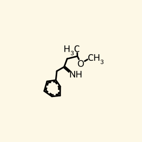 COC(C)CC(=N)Cc1ccccc1